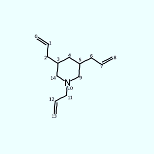 C=CCC1CC(CC=C)CN(CC=C)C1